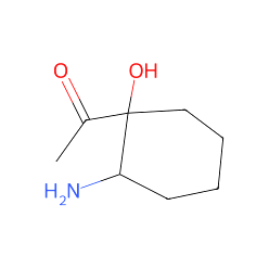 CC(=O)C1(O)CCCCC1N